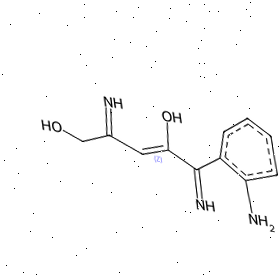 N=C(/C=C(\O)C(=N)c1ccccc1N)CO